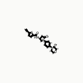 C#Cc1ccc(C(=O)N[C@@H]2CC(=O)N(c3ccc(N4CCOCC4=O)cc3)C2)s1